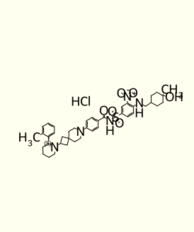 Cc1ccccc1[C@@H]1CCCCN1C1CC2(CCN(c3ccc(C(=O)NS(=O)(=O)c4ccc(NCC5CCC(C)(O)CC5)c([N+](=O)[O-])c4)cc3)CC2)C1.Cl